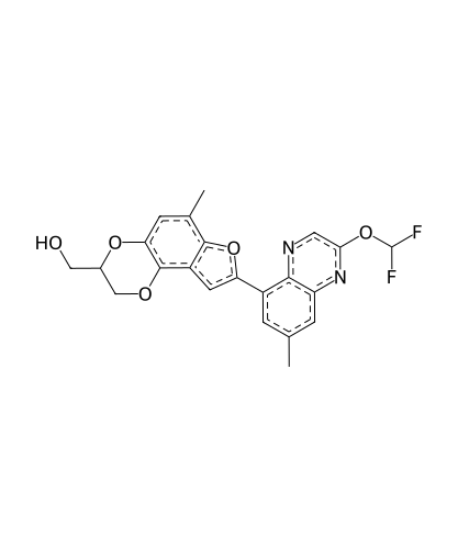 Cc1cc(-c2cc3c4c(cc(C)c3o2)OC(CO)CO4)c2ncc(OC(F)F)nc2c1